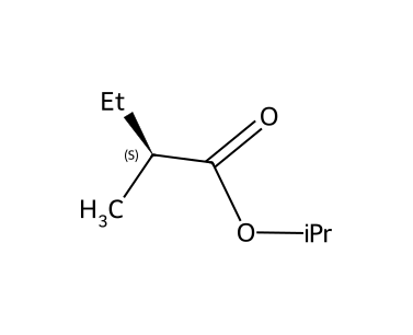 CC[C@H](C)C(=O)OC(C)C